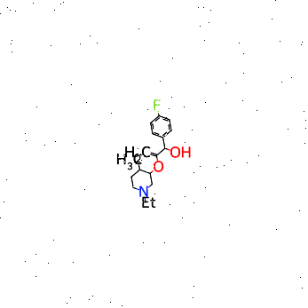 C=C(OC1CN(CC)CCC1C)C(O)c1ccc(F)cc1